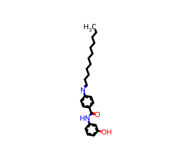 CCCCCCCCCCCC=Nc1ccc(C(=O)Nc2cccc(O)c2)cc1